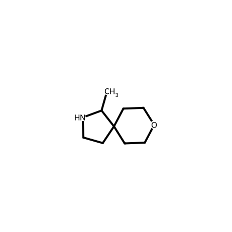 CC1NCCC12CCOCC2